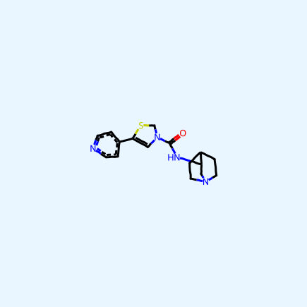 O=C(NC1CN2CCC1CC2)N1C=C(c2ccncc2)SC1